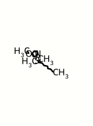 CCCCCCCC[Si](C)(C)c1cc(OC)ccn1